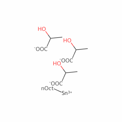 CC(O)C(=O)[O-].CC(O)C(=O)[O-].CC(O)C(=O)[O-].CCCCCCC[CH2][Sn+3]